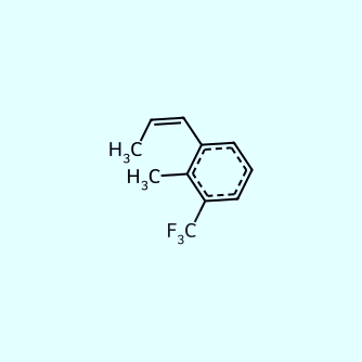 C/C=C\c1cccc(C(F)(F)F)c1C